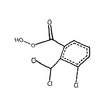 O=C(OO)c1cccc(Cl)c1C(Cl)Cl